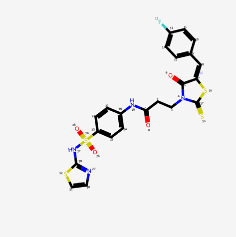 O=C(CCN1C(=O)/C(=C\c2ccc(F)cc2)SC1=S)Nc1ccc(S(=O)(=O)Nc2nccs2)cc1